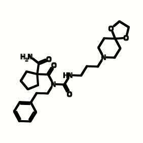 NC(=O)C1(C(=O)N(CCc2ccccc2)C(=O)NCCCN2CCC3(CC2)OCCO3)CCCC1